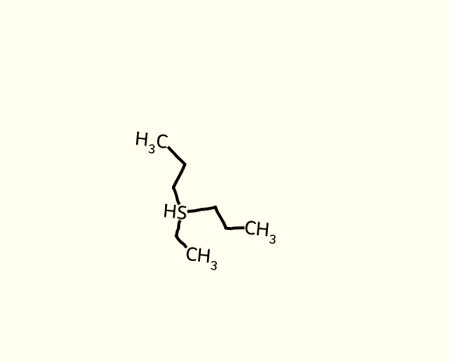 CCC[SH](CC)CCC